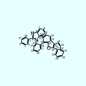 c1ccc(-c2nc3ccccc3n2-c2ccccc2-c2cccc3c2oc2c4ccccc4ccc32)cc1